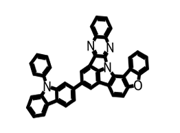 c1ccc(-n2c3ccccc3c3ccc(-c4cc5c6ccc7oc8ccccc8c7c6n6c7nc8ccccc8nc7c(c4)c56)cc32)cc1